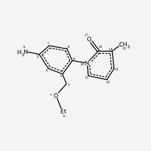 CCOCc1cc(N)ccc1-n1cccc(C)c1=O